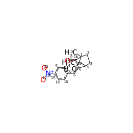 CC12CCC(/C(=C/c3ccc([N+](=O)[O-])cc3)C1=O)C2(C)C